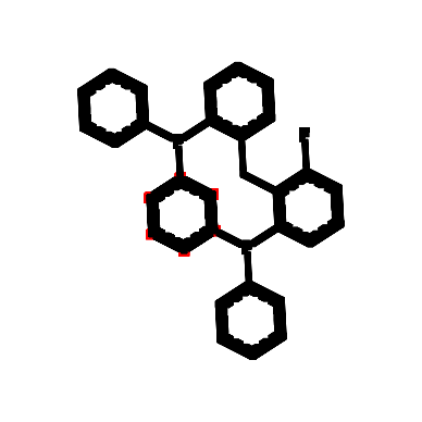 Fc1cccc(P(c2ccccc2)c2ccccc2)c1Cc1ccccc1P(c1ccccc1)c1ccccc1